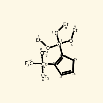 CC[O][Zr]([O]CC)([O]CC)[C]1=[C]([Ge]([C](F)(F)F)([C](F)(F)F)[C](F)(F)F)C=CC1